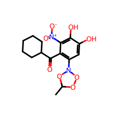 CC1OON(c2cc(O)c(O)c([N+](=O)[O-])c2C(=O)C2CCCCC2)O1